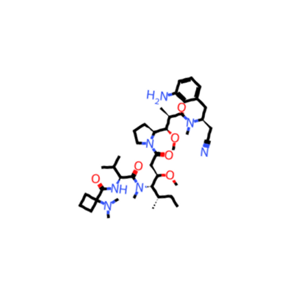 CC[C@H](C)[C@@H]([C@@H](CC(=O)N1CCC[C@H]1[C@H](OC)[C@@H](C)C(=O)N(C)[C@H](CC#N)Cc1cccc(N)c1)OC)N(C)C(=O)[C@@H](NC(=O)C1(N(C)C)CCC1)C(C)C